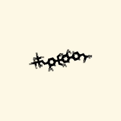 CCC(CC)(c1ccc(CCC(O)(C(F)(F)F)C(F)(F)F)c(C)c1)c1ccc(-c2ccc(CC(=O)O)cn2)c(C)c1